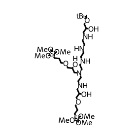 CO[Si](CCCOCC(O)CNCCN(CCNCCNCCNCC(O)COC(C)(C)C)CC(O)COCCC[Si](OC)(OC)OC)(OC)OC